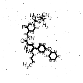 CCCCc1nnc(C(=O)NCC2CCN(C(=O)OC(C)(C)C)CC2F)cc1-c1ccc(OC2CCCCC2)cc1